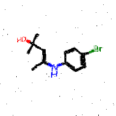 CC(CC(C)(C)O)Nc1ccc(Br)cc1